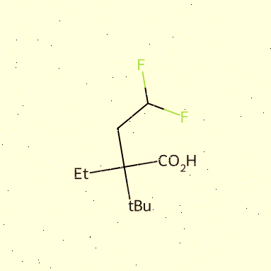 CCC(CC(F)F)(C(=O)O)C(C)(C)C